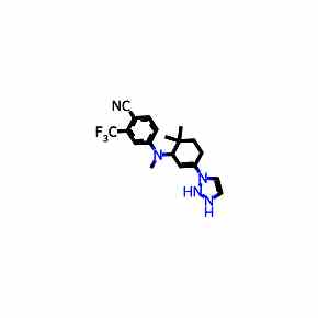 CN(c1ccc(C#N)c(C(F)(F)F)c1)C1C=C(N2C=CNN2)CCC1(C)C